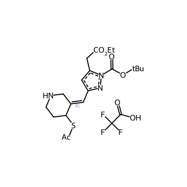 CCOC(=O)Cc1cc(/C=C2\CNCCC2SC(C)=O)nn1C(=O)OC(C)(C)C.O=C(O)C(F)(F)F